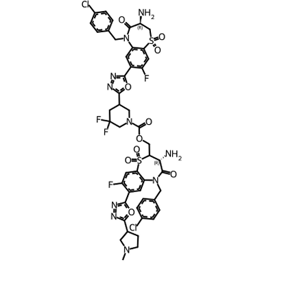 CN1CCC(c2nnc(-c3cc4c(cc3F)S(=O)(=O)C(COC(=O)N3CC(c5nnc(-c6cc7c(cc6F)S(=O)(=O)C[C@H](N)C(=O)N7Cc6ccc(Cl)cc6)o5)CC(F)(F)C3)[C@H](N)C(=O)N4Cc3ccc(Cl)cc3)o2)C1